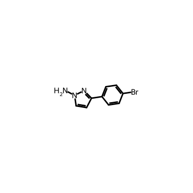 Nn1ccc(-c2ccc(Br)cc2)n1